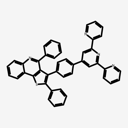 c1ccc(-c2sc3c(c(-c4ccccc4)nc4ccccc43)c2-c2ccc(-c3cc(-c4ccccn4)nc(-c4ccccn4)c3)cc2)cc1